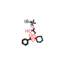 CC(C)(C)[Si](C)(C)OC[C@H](O)COC1(OC(=O)c2ccccc2)CCCCC1